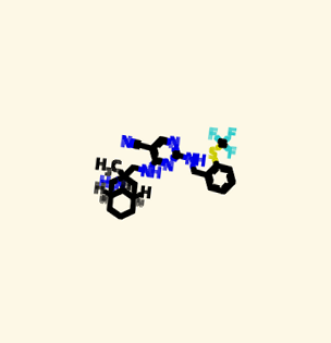 CC1(CNc2nc(NCc3ccccc3SC(F)(F)F)ncc2C#N)C[C@H]2CCC[C@@H](C1)[C@@H]2N